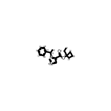 CCC1(OC(=O)c2cncn2C(C)c2ccccc2)CCC1